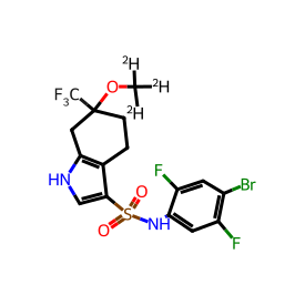 [2H]C([2H])([2H])OC1(C(F)(F)F)CCc2c(S(=O)(=O)Nc3cc(F)c(Br)cc3F)c[nH]c2C1